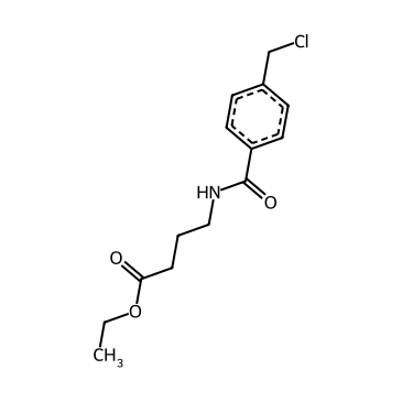 CCOC(=O)CCCNC(=O)c1ccc(CCl)cc1